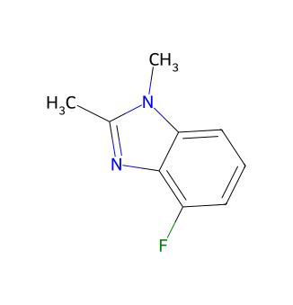 Cc1nc2c(F)cccc2n1C